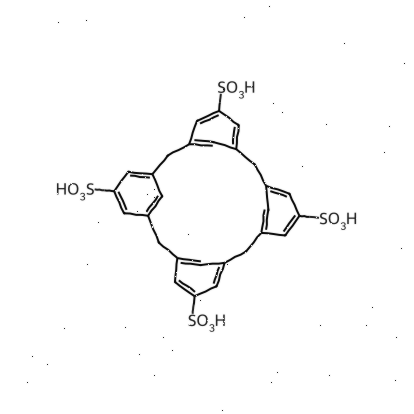 O=S(=O)(O)c1cc2cc(c1)Cc1cc(cc(S(=O)(=O)O)c1)Cc1cc(cc(S(=O)(=O)O)c1)Cc1cc(cc(S(=O)(=O)O)c1)C2